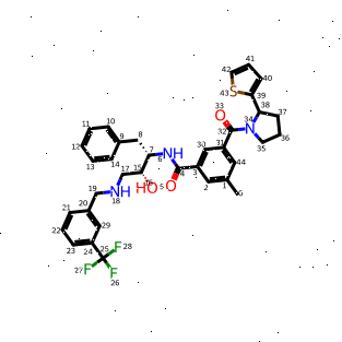 Cc1cc(C(=O)N[C@@H](Cc2ccccc2)[C@H](O)CNCc2cccc(C(F)(F)F)c2)cc(C(=O)N2CCCC2c2cccs2)c1